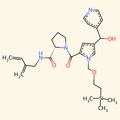 C=CC(=C)CNC(=O)[C@@H]1CCCN1C(=O)c1cc(C(O)c2ccncc2)cn1COCC[Si](C)(C)C